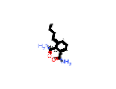 CCCC=C1C=CC=C(C(N)=O)C1C(N)=O